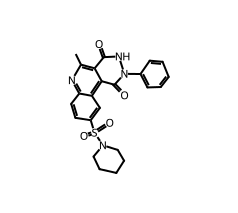 Cc1nc2ccc(S(=O)(=O)N3CCCCC3)cc2c2c(=O)n(-c3ccccc3)[nH]c(=O)c12